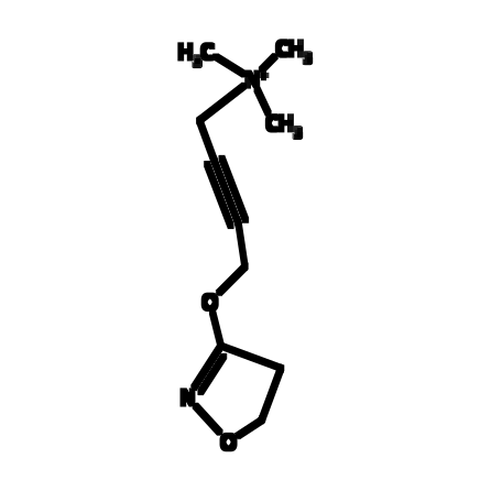 C[N+](C)(C)CC#CCOC1=NOCC1